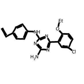 C=Cc1ccc(Nc2nc(N)nc(-c3cc(Cl)ccc3OCC)n2)cc1